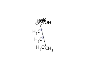 CC(C)=CCC/C(C)=C/CC/C(C)=C/CC(CP(=O)(O)O)C(=O)O